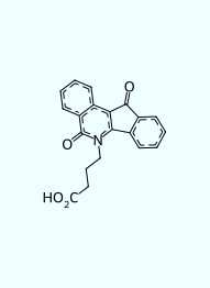 O=C(O)CCCn1c2c(c3ccccc3c1=O)C(=O)c1ccccc1-2